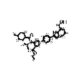 CCOC(=O)c1cn(-c2ccc(-c3cn4cccc(CO)c4n3)cc2)nc1N(C(=O)C1CCC(C)CC1)C(C)C